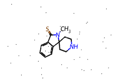 CN1C(=S)c2ccccc2C12CCNCC2